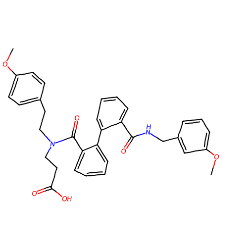 COc1ccc(CCN(CCC(=O)O)C(=O)c2ccccc2-c2ccccc2C(=O)NCc2cccc(OC)c2)cc1